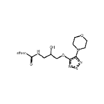 CCCCCC(=O)NCC(O)COc1nsnc1N1CCOCC1